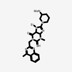 B=C1N(Cc2nc(C)c3ccccc3n2)C(=O)C2C(N=C(N3CCCC(NC)C3)N2CC)N1C